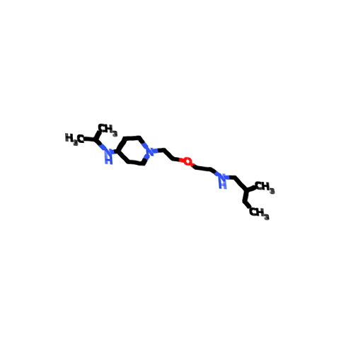 CCC(C)CNCCOCCN1CCC(NC(C)C)CC1